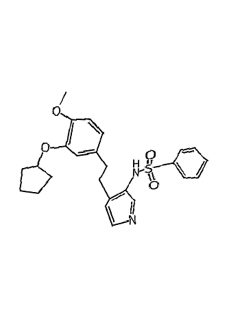 COc1ccc(CCc2ccncc2NS(=O)(=O)c2ccccc2)cc1OC1CCCC1